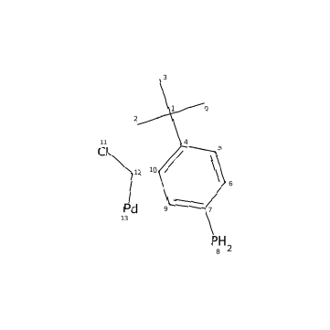 CC(C)(C)c1ccc(P)cc1.Cl[CH2][Pd]